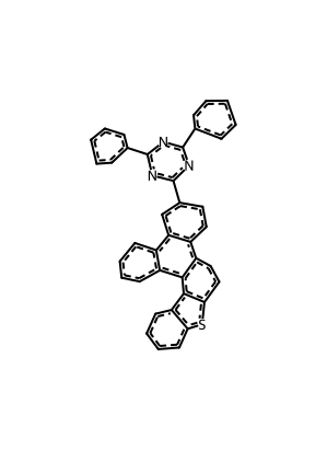 c1ccc(-c2nc(-c3ccccc3)nc(-c3ccc4c(c3)c3ccccc3c3c4ccc4sc5ccccc5c43)n2)cc1